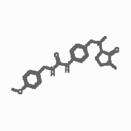 COc1ccc(CNC(=O)Nc2ccc(CN(C)C3CCN(C)C3=O)cc2)cc1